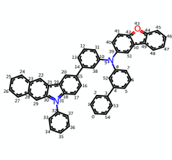 c1ccc(-c2cccc(N(c3cccc(-c4ccc5c(c4)c4cc6ccccc6cc4n5-c4ccccc4)c3)c3ccc4oc5ccccc5c4c3)c2)cc1